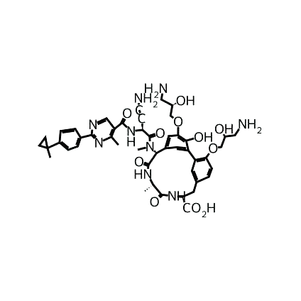 Cc1nc(-c2ccc(C3(C)CC3)cc2)ncc1C(=O)N[C@@H](CCN)C(=O)N(C)[C@@H]1C(=O)N[C@@H](C)C(=O)N[C@H](C(=O)O)Cc2ccc(OC[C@@H](O)CN)c(c2)-c2cc1cc(OC[C@@H](O)CN)c2O